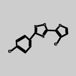 Clc1ccc(-c2noc(-c3occc3Cl)n2)cc1